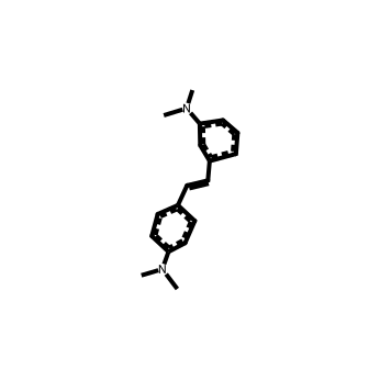 CN(C)c1ccc(C=Cc2cccc(N(C)C)c2)cc1